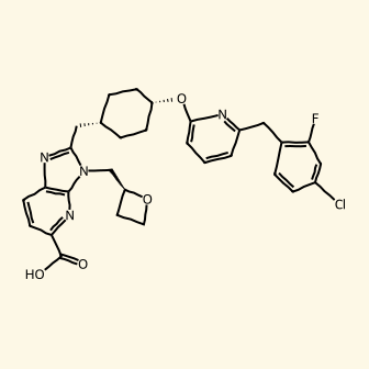 O=C(O)c1ccc2nc(C[C@H]3CC[C@@H](Oc4cccc(Cc5ccc(Cl)cc5F)n4)CC3)n(C[C@@H]3CCO3)c2n1